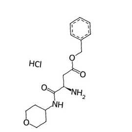 Cl.N[C@H](CC(=O)OCc1ccccc1)C(=O)NC1CCOCC1